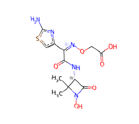 CC1(C)[C@H](NC(=O)/C(=N\OCC(=O)O)c2csc(N)n2)C(=O)N1O